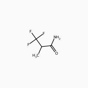 C[C](C(N)=O)C(F)(F)F